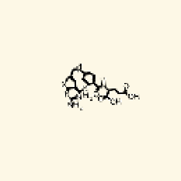 CN(Cc1cnc2nc(N)nc(N)c2c1)c1ccc(C(=O)NC(CCC(=O)O)C(=O)O)cc1